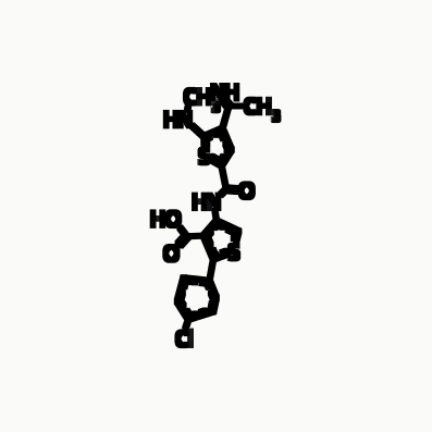 CNc1sc(C(=O)Nc2csc(-c3ccc(Cl)cc3)c2C(=O)O)cc1C(C)=N